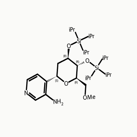 COC[C@H]1O[C@H](c2ccncc2N)C[C@@H](O[Si](C(C)C)(C(C)C)C(C)C)[C@@H]1O[Si](C(C)C)(C(C)C)C(C)C